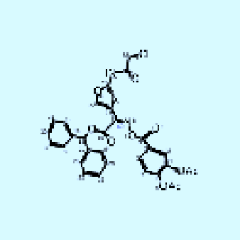 CC(=O)Oc1ccc(C(=O)O/N=C(\C(=O)OC(c2ccccc2)c2ccccc2)c2coc(NC(=O)CCl)n2)cc1OC(C)=O